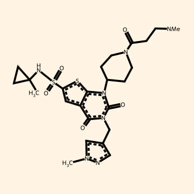 CNCCC(=O)N1CCC(n2c(=O)n(Cc3cnn(C)c3)c(=O)c3cc(S(=O)(=O)NC4(C)CC4)sc32)CC1